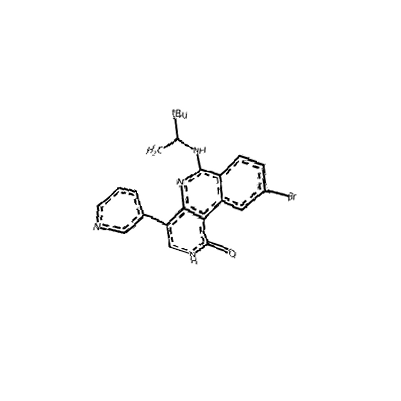 CC(Nc1nc2c(-c3cccnc3)c[nH]c(=O)c2c2cc(Br)ccc12)C(C)(C)C